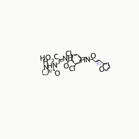 O=C(/C=C/c1ccco1)NCc1cc(Cl)c(C(=O)N[C@@H](CNC(=O)[C@@H]2CCCN2)C(=O)O)c(Cl)c1